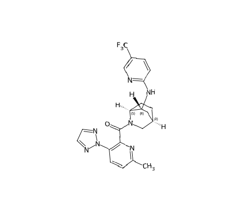 Cc1ccc(-n2nccn2)c(C(=O)N2C[C@@H]3CC[C@H]2[C@H](Nc2ccc(C(F)(F)F)cn2)C3)n1